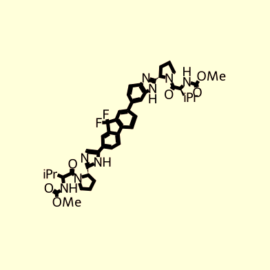 COC(=O)NC(C(=O)N1CCC[C@H]1c1ncc(-c2ccc3c(c2)C(F)(F)c2cc(-c4ccc5nc([C@@H]6CCCN6C(=O)[C@@H](NC(=O)OC)C(C)C)[nH]c5c4)ccc2-3)[nH]1)C(C)C